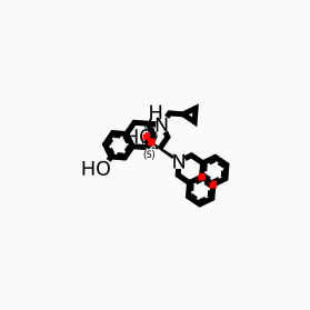 Oc1ccc2c(c1)[C@@]13CCN(CC4CC4)[C@H](C2)[C@]1(O)C[C@H](N(Cc1ccccc1)Cc1ccccc1)C3